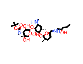 CCCC(O)CNCC1=CC[C@@H](C)[C@@H](OC2[C@@H](C)C[C@@H](NC)[C@H](O[C@H]3OC[C@](C)(O)[C@H](N(C)C(=O)OC(C)(C)C)[C@H]3O)[C@H]2O)O1